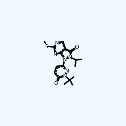 CSc1ncc2c(=O)n(C(C)C)n(-c3ccc(=O)n(C(C)(C)C)n3)c2n1